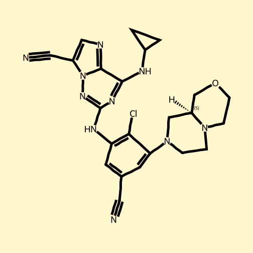 N#Cc1cc(Nc2nc(NC3CC3)c3ncc(C#N)n3n2)c(Cl)c(N2CCN3CCOC[C@@H]3C2)c1